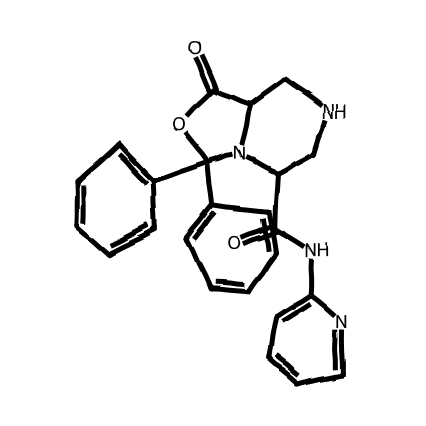 O=C(Nc1ccccn1)C1CNCC2C(=O)OC(c3ccccc3)(c3ccccc3)N12